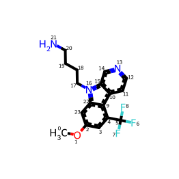 COc1cc(C(F)(F)F)c2c3ccncc3n(CCCCN)c2c1